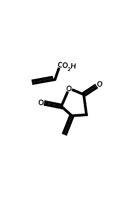 C=C1CC(=O)OC1=O.C=CC(=O)O